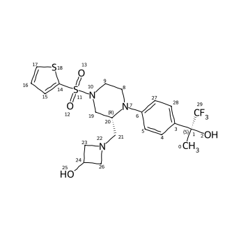 C[C@](O)(c1ccc(N2CCN(S(=O)(=O)c3cccs3)C[C@H]2CN2CC(O)C2)cc1)C(F)(F)F